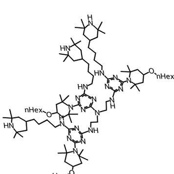 CCCCCCOC1CC(C)(C)N(c2nc(NCCCCC3CC(C)(C)NC(C)(C)C3)nc(NCCN(CCNc3nc(NCCCCC4CC(C)(C)NC(C)(C)C4)nc(N4C(C)(C)CC(OCCCCCC)CC4(C)C)n3)c3nc(NCCCCC4CC(C)(C)NC(C)(C)C4)nc(N4C(C)(C)CC(OCCCCCC)CC4(C)C)n3)n2)C(C)(C)C1